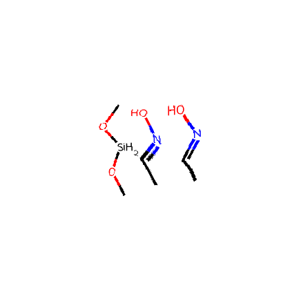 CC=NO.CC=NO.CO[SiH2]OC